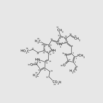 C=CC1=C(C)C(C=c2[nH]/c(=C\c3[nH]c(/C=C4\NC(=O)C(C)=C4CCC(=O)O)c(CCC(=O)O)c3C)c(C)c2C=C)=NC1=O